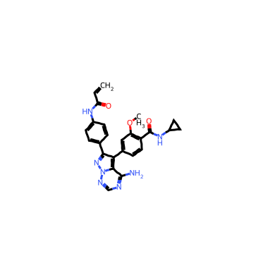 C=CC(=O)Nc1ccc(-c2nn3ncnc(N)c3c2-c2ccc(C(=O)NC3CC3)c(OC)c2)cc1